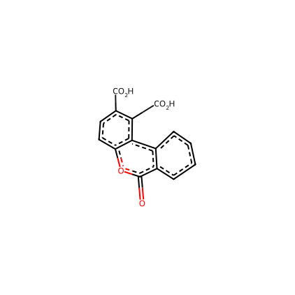 O=C(O)c1ccc2oc(=O)c3ccccc3c2c1C(=O)O